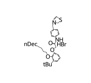 Br.CCCCCCCCCCCCCCOc1c(OCC(=O)Nc2ccc(CN3C=CSC3)cc2)cccc1C(C)(C)C